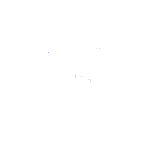 CC(C)C(=O)O[C@H]1[C@H](c2ccc3c(N)ncnn23)O[C@]2(C)C(OP(=O)(N[C@@H](C)C(=O)OCc3ccccc3)Oc3ccccc3)[C@]12OC(=O)C(C)C